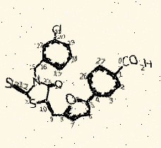 O=C(O)c1ccc(-c2ccc(C=C3SC(=S)N(Cc4cccc(Cl)c4)C3=O)o2)cc1